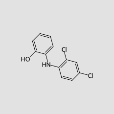 Oc1ccccc1Nc1ccc(Cl)cc1Cl